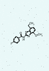 CCc1ccc(OC)c2nc(NC(=O)c3ccc(F)cc3)sc12